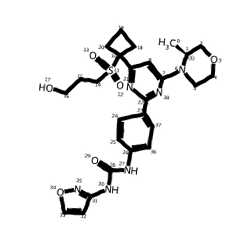 C[C@H]1COCCN1c1cc(C2(S(=O)(=O)CCCO)CCC2)nc(-c2ccc(NC(=O)Nc3ccon3)cc2)n1